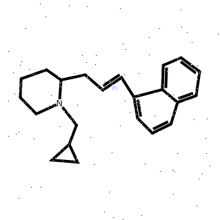 C(=C\c1cccc2ccccc12)/CC1CCCCN1CC1CC1